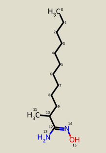 CCCCCCCCCCC(C)/C(N)=N/O